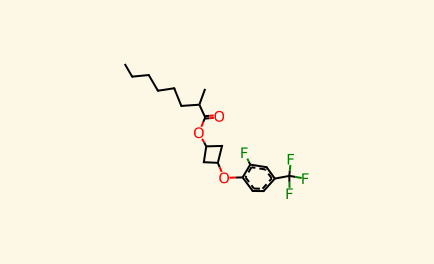 CCCCCCC(C)C(=O)OC1CC(Oc2ccc(C(F)(F)F)cc2F)C1